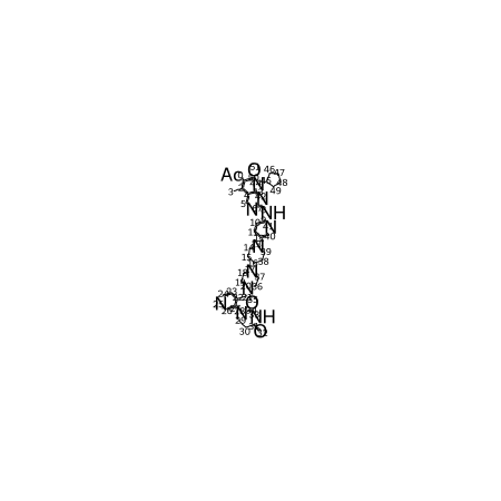 CC(=O)c1c(C)c2cnc(Nc3ccc(N4CCC(N5CCN(Cc6ccncc6N6CCC(=O)NC6=O)CC5)CC4)cn3)nc2n(C2CCCC2)c1=O